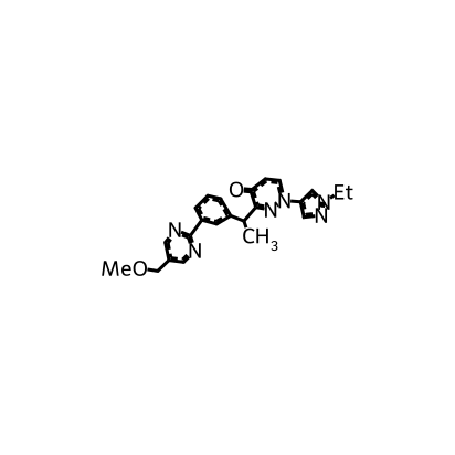 CCn1cc(-n2ccc(=O)c(C(C)c3cccc(-c4ncc(COC)cn4)c3)n2)cn1